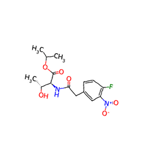 CC(C)OC(=O)[C@@H](NC(=O)Cc1ccc(F)c([N+](=O)[O-])c1)[C@@H](C)O